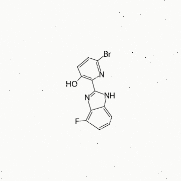 Oc1ccc(Br)nc1-c1nc2c(F)cccc2[nH]1